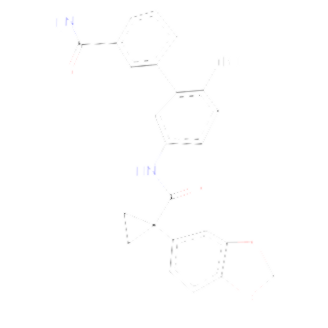 CC(C)(C)c1ccc(NC(=O)C2(c3ccc4c(c3)OCO4)CC2)cc1-c1cccc(C(N)=O)c1